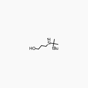 C[SiH](CCCO)C(C)(C)C(C)(C)C